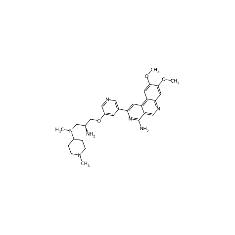 COc1cc2ncc3c(N)nc(-c4cncc(OC[C@@H](N)CN(C)C5CCN(C)CC5)c4)cc3c2cc1OC